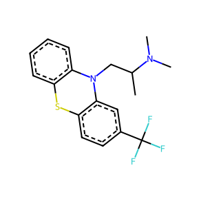 CC(CN1c2ccccc2Sc2ccc(C(F)(F)F)cc21)N(C)C